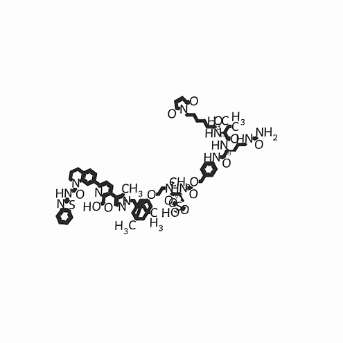 Cc1c(-c2ccc(-c3ccc4c(c3)N(C(=O)Nc3nc5ccccc5s3)CCC4)nc2C(=O)O)cnn1CC12CC3(C)CC(C)(C1)CC(OCCN(C)C(=O)[C@H](CS(=O)(=O)O)NC(=O)OCc1ccc(NC(=O)[C@H](CCCNC(N)=O)NC(=O)[C@@H](NC(=O)CCCCCN4C(=O)C=CC4=O)C(C)C)cc1)(C3)C2